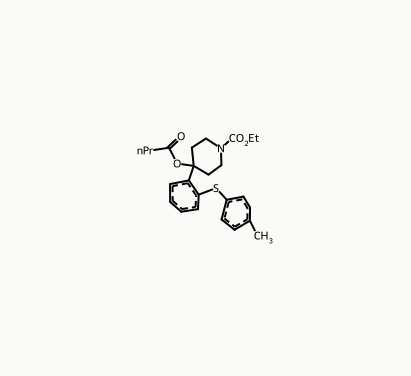 CCCC(=O)OC1(c2ccccc2Sc2ccc(C)cc2)CCN(C(=O)OCC)CC1